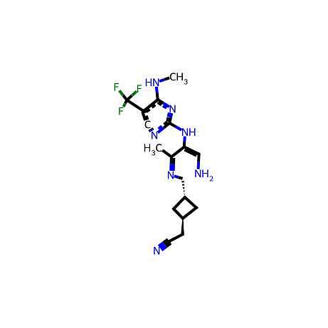 CNc1nc(NC(=C/N)/C(C)=N\C[C@H]2C[C@H](CC#N)C2)ncc1C(F)(F)F